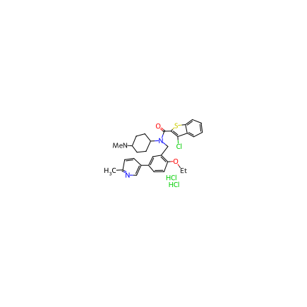 CCOc1ccc(-c2ccc(C)nc2)cc1CN(C(=O)c1sc2ccccc2c1Cl)C1CCC(NC)CC1.Cl.Cl